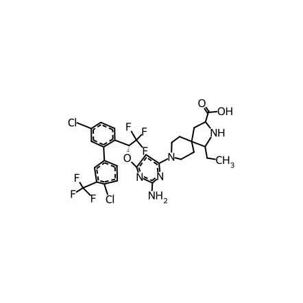 CCC1NC(C(=O)O)CC12CCN(c1cc(O[C@H](c3ccc(Cl)cc3-c3ccc(Cl)c(C(F)(F)F)c3)C(F)(F)F)nc(N)n1)CC2